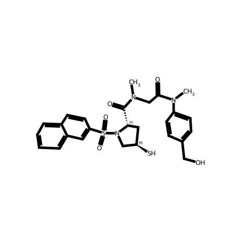 CN(CC(=O)N(C)c1ccc(CO)cc1)C(=O)[C@@H]1C[C@@H](S)CN1S(=O)(=O)c1ccc2ccccc2c1